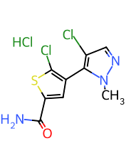 Cl.Cn1ncc(Cl)c1-c1cc(C(N)=O)sc1Cl